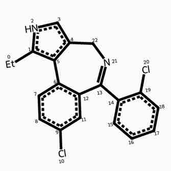 CCc1[nH]cc2c1-c1ccc(Cl)cc1C(c1ccccc1Cl)=NC2